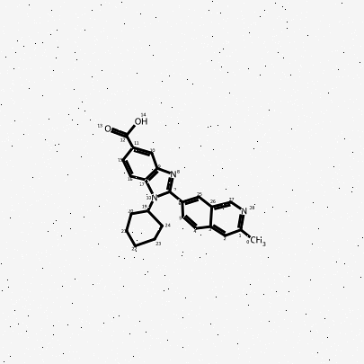 Cc1cc2ccc(-c3nc4cc(C(=O)O)ccc4n3C3CCCCC3)cc2cn1